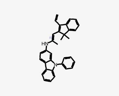 C=CC1=C(/C=C(\C)Nc2ccc3c4ccccc4n(-c4ccccc4)c3c2)C(C)(C)c2ccccc21